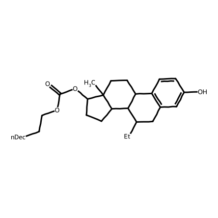 CCCCCCCCCCCCOC(=O)OC1CCC2C3C(CC)Cc4cc(O)ccc4C3CCC12C